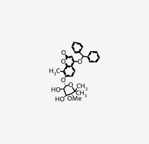 CO[C@@H]1[C@@H](O)[C@@H](O)[C@H](Oc2ccc3c(OC(c4ccccc4)c4ccccc4)cc(=O)oc3c2C)OC1(C)C